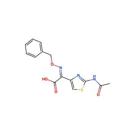 CC(=O)Nc1nc(C(=NOCc2ccccc2)C(=O)O)cs1